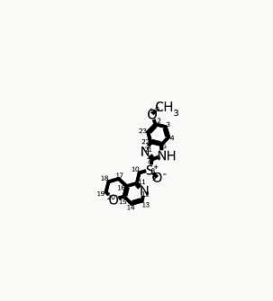 COc1ccc2[nH]c([S+]([O-])Cc3nccc4c3CCCO4)nc2c1